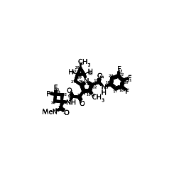 CNC(=O)C1(NC(=O)C(=O)c2c(C)c(C(=O)Nc3cc(F)c(F)c(F)c3)n3c2C[C@H]2[C@@H](C)[C@H]23)CC(F)(F)C1